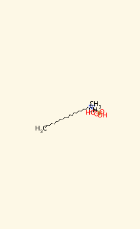 CCCCCCCCCCCCCCCCCCCC[N+](C)(C)CC(O)CS(=O)(=O)O